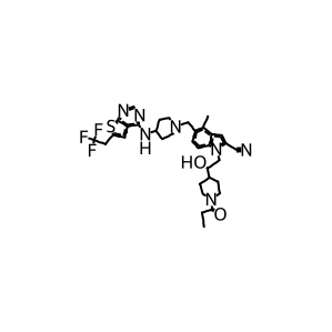 CCC(=O)N1CCC(C(O)Cn2c(C#N)cc3c(C)c(CN4CCC(Nc5ncnc6sc(CC(F)(F)F)cc56)CC4)ccc32)CC1